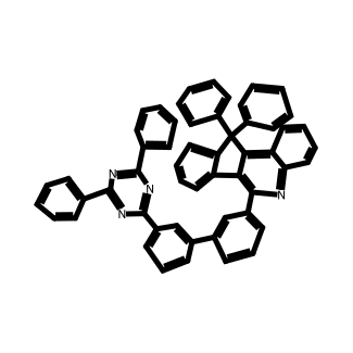 c1ccc(-c2nc(-c3ccccc3)nc(-c3cccc(-c4cccc(-c5nc6ccccc6c6c5-c5ccccc5C6(c5ccccc5)c5ccccc5)c4)c3)n2)cc1